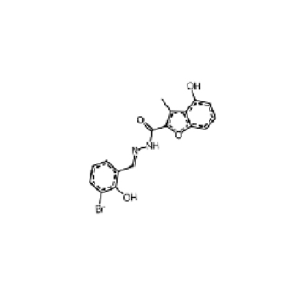 Cc1c(C(=O)N/N=C/c2cccc(Br)c2O)oc2cccc(O)c12